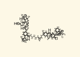 COc1cc(CCN(C)CCCCCNc2cc([C@H](C)NC(=O)[C@@H]3C[C@@H](O)CN3C(=O)[C@@H](NC(C)=O)C(C)(C)C)ccc2-c2scnc2C)c(C)cc1Nc1ncc(Cl)c(Nc2ccccc2S(=O)(=O)C(C)C)n1